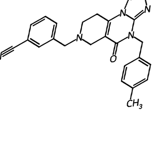 Cc1ccc(Cn2c(=O)c3c(n4ccnc24)CCN(Cc2cccc(C#N)c2)C3)cc1